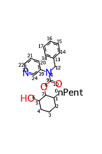 CCCCCC1CCCC(O)C1OC(=O)N(Cc1ccccc1)c1cccnc1